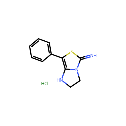 Cl.N=c1sc(-c2ccccc2)c2n1CCN2